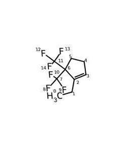 CCC1=CCCC1(C(F)(F)F)C(F)(F)F